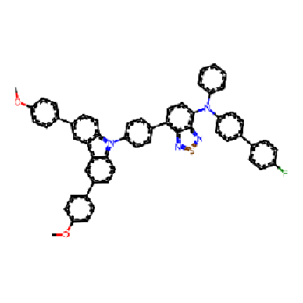 COc1ccc(-c2ccc3c(c2)c2cc(-c4ccc(OC)cc4)ccc2n3-c2ccc(-c3ccc(N(c4ccccc4)c4ccc(-c5ccc(F)cc5)cc4)c4nsnc34)cc2)cc1